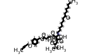 CC#CCOc1ccc(COC(=O)CCNC(=O)[C@@H](/C=C/CCCCCCC(=O)CCCCCCC)[C@@](O)(CC(=O)N(C)C)C(=O)O)cc1